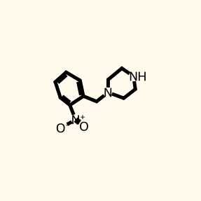 O=[N+]([O-])c1ccccc1CN1CCNCC1